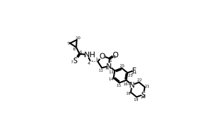 O=C1O[C@@H](CNC(=S)C2CC2)CN1c1ccc(N2CCSCC2)c(F)c1